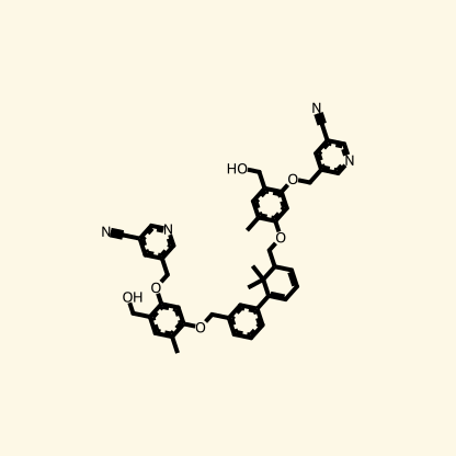 Cc1cc(CO)c(OCc2cncc(C#N)c2)cc1OCc1cccc(C2=CC=CC(COc3cc(OCc4cncc(C#N)c4)c(CO)cc3C)C2(C)C)c1